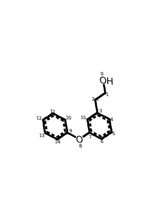 OC[CH]c1cccc(Oc2ccccc2)c1